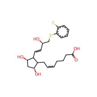 O=C(O)CCC/C=C\CC1C(/C=C/[C@@H](O)CSc2ccccc2F)[C@H](O)C[C@@H]1O